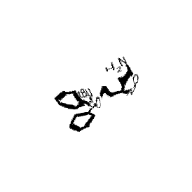 CC(C)(C)[Si](OCCc1cc(N)on1)(c1ccccc1)c1ccccc1